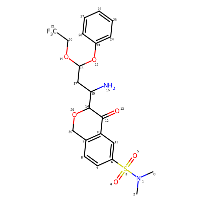 CN(C)S(=O)(=O)c1ccc2c(c1)C(=O)C(C(N)CC(OCC(F)(F)F)Oc1ccccc1)OC2